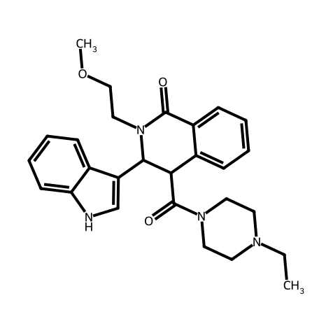 CCN1CCN(C(=O)C2c3ccccc3C(=O)N(CCOC)C2c2c[nH]c3ccccc23)CC1